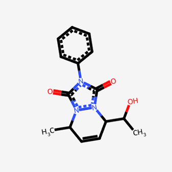 CC(O)C1C=CC(C)n2c(=O)n(-c3ccccc3)c(=O)n21